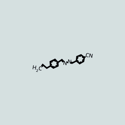 C=CCc1ccc(C=NN=Cc2ccc(C#N)cc2)cc1